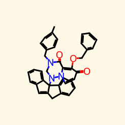 Cc1ccc(CN2CN(C34C(=Cc5ccccc53)Cc3ccccc34)n3ccc(=O)c(OCc4ccccc4)c3C2=O)cc1